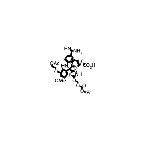 CC(=O)O.COc1cc(OCCOC(C)=O)c(F)c([C@@](Nc2ccc(C(=N)N)cc2)(c2ncccn2)c2n[nH]c(OCOC(=O)OC(C)C)n2)c1